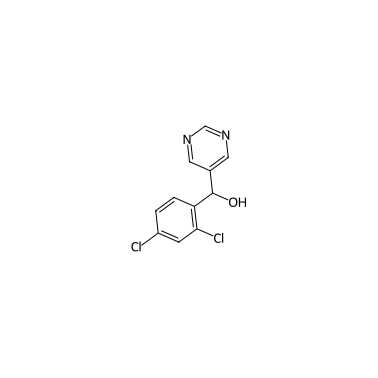 OC(c1cncnc1)c1ccc(Cl)cc1Cl